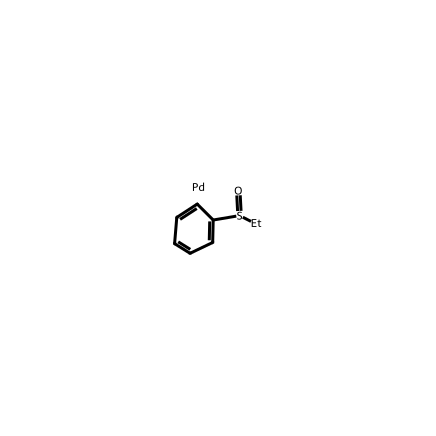 [CH2]CS(=O)c1ccccc1.[Pd]